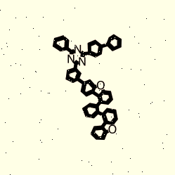 c1ccc(-c2ccc(-c3nc(-c4ccccc4)nc(-c4cccc(-c5ccc6c(c5)oc5cccc(-c7ccccc7-c7cccc8oc9ccccc9c78)c56)c4)n3)cc2)cc1